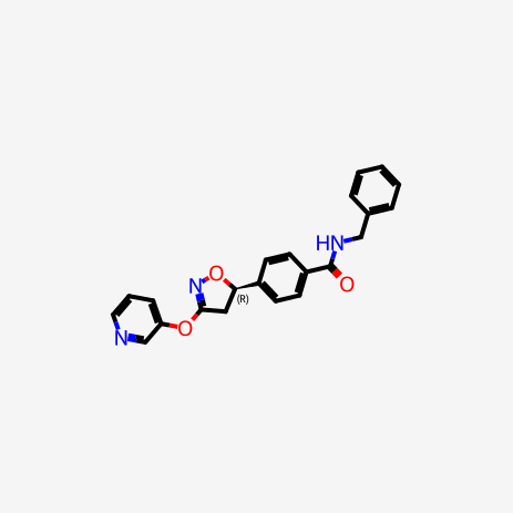 O=C(NCc1ccccc1)c1ccc([C@H]2CC(Oc3cccnc3)=NO2)cc1